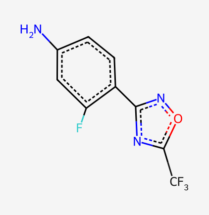 Nc1ccc(-c2noc(C(F)(F)F)n2)c(F)c1